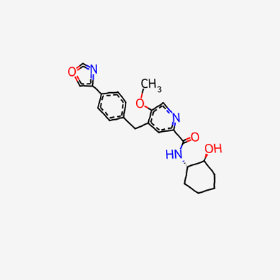 COc1cnc(C(=O)N[C@H]2CCCC[C@@H]2O)cc1Cc1ccc(-c2cocn2)cc1